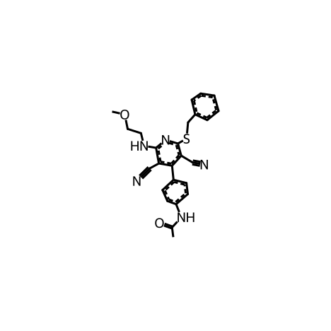 COCCNc1nc(SCc2ccccc2)c(C#N)c(-c2ccc(NC(C)=O)cc2)c1C#N